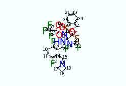 O=C(ON(C1(NCc2c(F)ccc(F)c2CN2CCC2)CSC(F)N1F)S(=O)(=O)c1ccccc1)C(F)(F)F